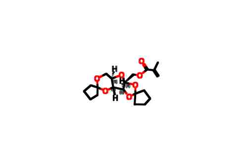 C=C(C)C(=O)OC[C@]12O[C@@H]3COC4(CCCC4)O[C@H]3[C@@H]1OC1(CCCC1)O2